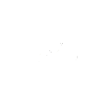 COc1cc(C(=O)O)ccc1NC(=O)c1cc(F)c(F)cc1Cl